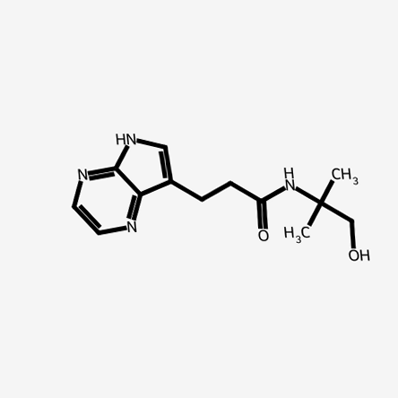 CC(C)(CO)NC(=O)CCc1c[nH]c2nccnc12